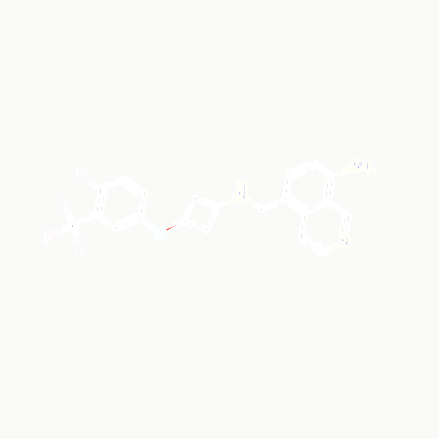 Nc1ccc(CN[C@H]2C[C@H](Oc3ccc(F)c(C(F)(F)F)c3)C2)c2ccncc12